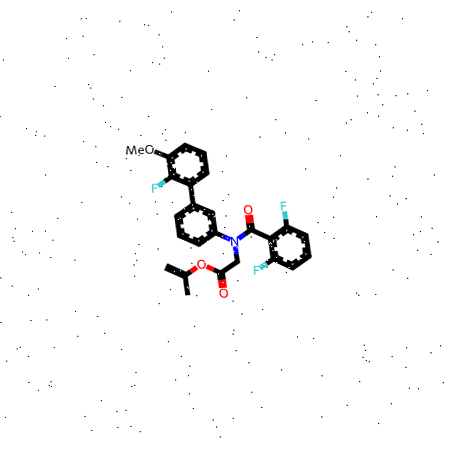 C=C(C)OC(=O)CN(C(=O)c1c(F)cccc1F)c1cccc(-c2cccc(OC)c2F)c1